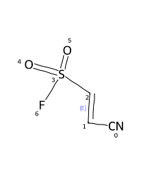 N#C/C=C/S(=O)(=O)F